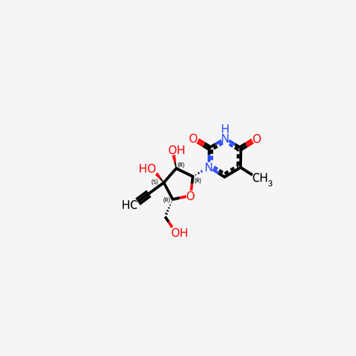 C#C[C@@]1(O)[C@@H](CO)O[C@@H](n2cc(C)c(=O)[nH]c2=O)[C@@H]1O